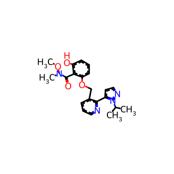 CON(C)C(=O)c1c(O)cccc1OCc1cccnc1-c1ccnn1C(C)C